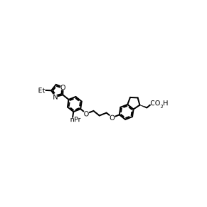 CCCc1cc(-c2nc(CC)co2)ccc1OCCCOc1ccc2c(c1)CC[C@H]2CC(=O)O